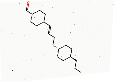 CCC[C@H]1CC[C@H](CC/C=C/C2CCC(C=O)CC2)CC1